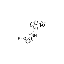 Cc1nc(-c2ccc3ccnc(NCCC(=O)Nc4cc5c(OCCF)nccn5n4)c3c2)no1